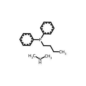 CCCCP(c1ccccc1)c1ccccc1.CNC